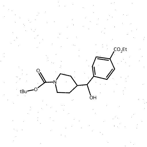 CCOC(=O)c1ccc(C(O)C2CCN(C(=O)OC(C)(C)C)CC2)cc1